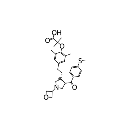 CSc1ccc(C(=O)C2CN(C3COC3)C[C@@H]2CCc2cc(C)c(OC(C)(C)C(=O)O)c(C)c2)cc1